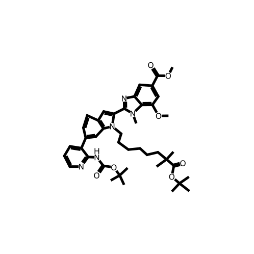 COC(=O)c1cc(OC)c2c(c1)nc(-c1cc3ccc(-c4cccnc4NC(=O)OC(C)(C)C)cc3n1CCCCCCC(C)(C)C(=O)OC(C)(C)C)n2C